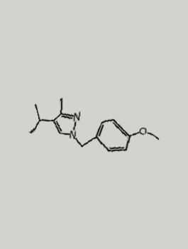 COc1ccc(Cn2cc(C(C)C)c(C)n2)cc1